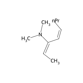 C/C=C(\C=C/CCC)N(C)C